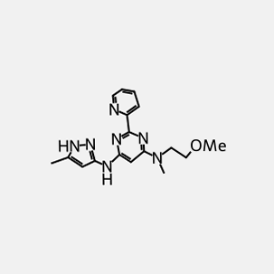 COCCN(C)c1cc(Nc2cc(C)[nH]n2)nc(-c2ccccn2)n1